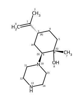 C=C(C)[C@@H]1CC[C@](C)(O)[C@@H](N2CCNCC2)C1